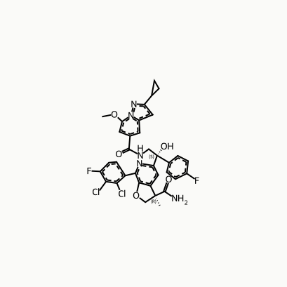 COc1cc(C(=O)NC[C@@](O)(c2ccc(F)cc2)c2cc3c(c(-c4ccc(F)c(Cl)c4Cl)n2)OC[C@]3(C)C(N)=O)cc2cc(C3CC3)nn12